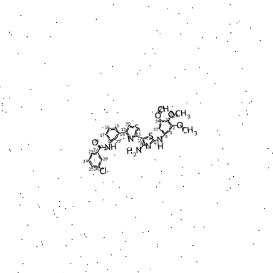 COc1cc(Nc2nc(N)c(-c3nc(-c4cccc(NC(=O)c5cccc(Cl)c5)c4)cs3)s2)cc(OC)c1OC